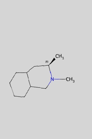 C[C@@H]1CC2CCCCC2CN1C